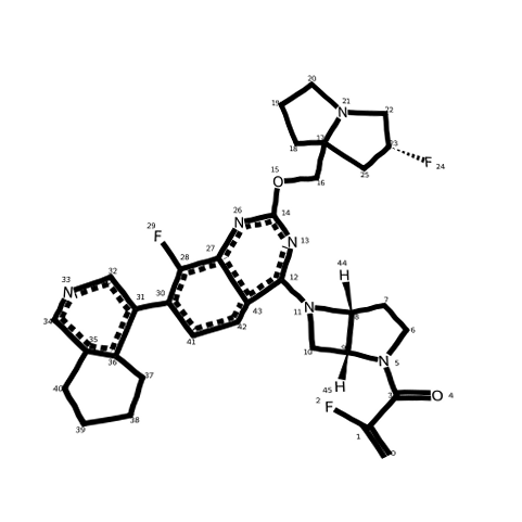 C=C(F)C(=O)N1CC[C@@H]2[C@H]1CN2c1nc(OCC23CCCN2C[C@H](F)C3)nc2c(F)c(-c3cncc4c3CCCC4)ccc12